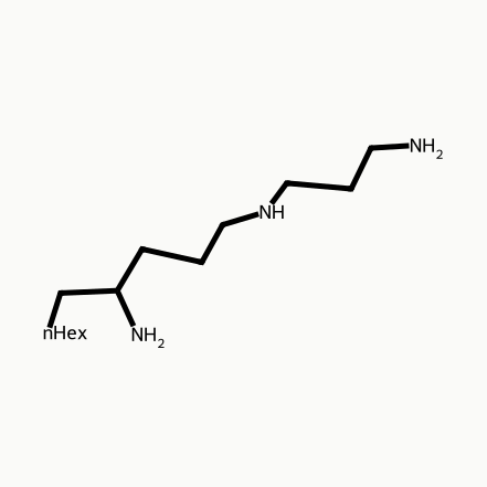 CCCCCCCC(N)CCCNCCCN